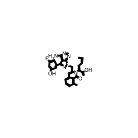 C=C(O)/C(=C\C=C/C)n1c(Cn2nc(-c3cc(O)cc(F)c3)c3c(N)ncnc32)cc2cccc(C)c2c1=O